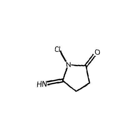 N=C1CCC(=O)N1Cl